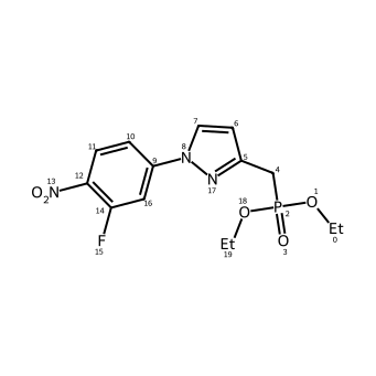 CCOP(=O)(Cc1ccn(-c2ccc([N+](=O)[O-])c(F)c2)n1)OCC